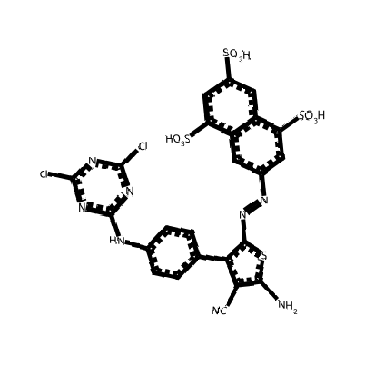 N#Cc1c(N)sc(N=Nc2cc(S(=O)(=O)O)c3cc(S(=O)(=O)O)cc(S(=O)(=O)O)c3c2)c1-c1ccc(Nc2nc(Cl)nc(Cl)n2)cc1